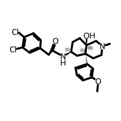 COc1cccc([C@@]23CCN(C)C[C@@]2(O)CC[C@H](NC(=O)Cc2ccc(Cl)c(Cl)c2)C3)c1